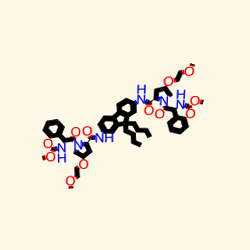 CCCCC1(CCCC)c2cc(NC(=O)[C@@H]3C[C@@H](OCCOC)CN3C(=O)[C@H](NC(=O)OC)c3ccccc3)ccc2-c2ccc(NC(=O)[C@@H]3C[C@@H](OCCOC)CN3C(=O)[C@H](NC(=O)OC)c3ccccc3)cc21